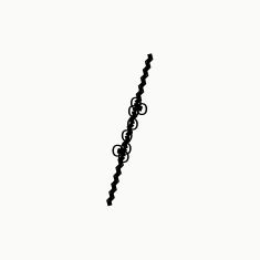 CCCCCCCCCCCCOC(=O)OCCOCCOCCOC(=O)OCCCCCCCCCCCC